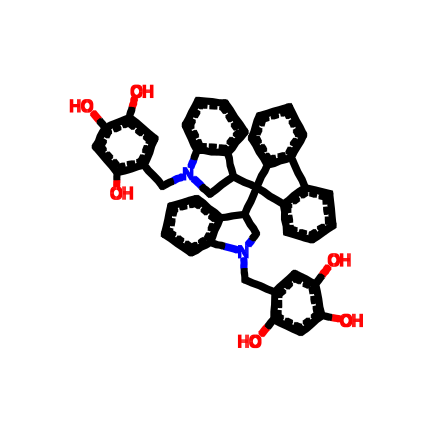 Oc1cc(O)c(CN2CC(C3(C4CN(Cc5cc(O)c(O)cc5O)c5ccccc54)c4ccccc4-c4ccccc43)c3ccccc32)cc1O